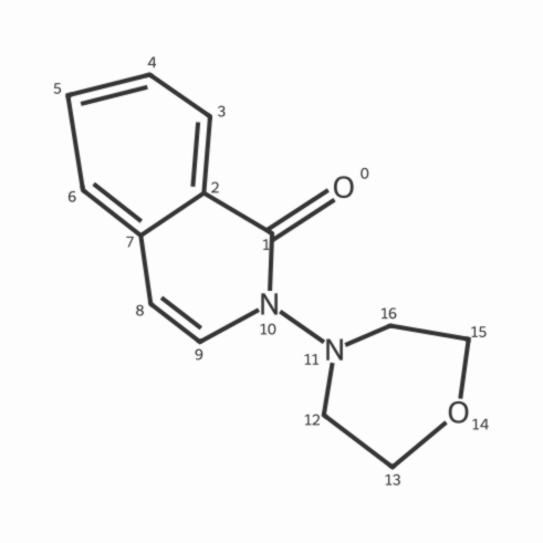 O=c1c2ccccc2ccn1N1CCOCC1